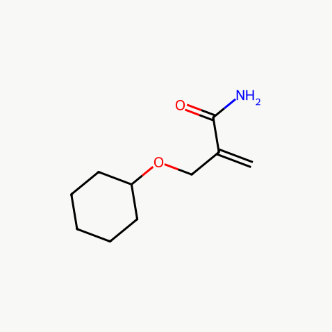 C=C(COC1CCCCC1)C(N)=O